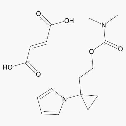 CN(C)C(=O)OCCC1(n2cccc2)CC1.O=C(O)/C=C/C(=O)O